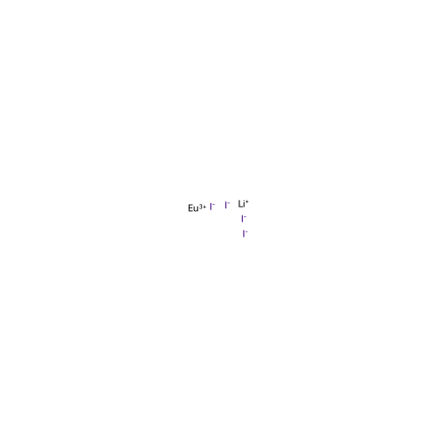 [Eu+3].[I-].[I-].[I-].[I-].[Li+]